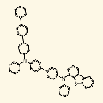 c1ccc(-c2ccc(-c3ccc(N(c4ccccc4)c4ccc(-c5ccc(N(c6ccccc6)c6cccc7c6sc6ccccc67)cc5)cc4)cc3)cc2)cc1